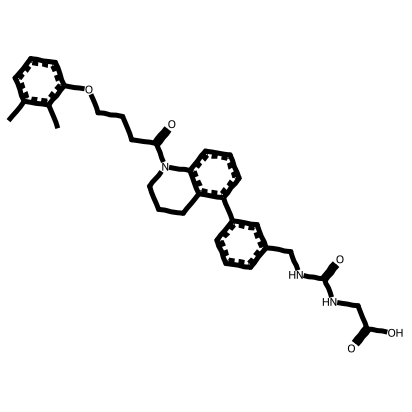 Cc1cccc(OCCCC(=O)N2CCCc3c(-c4cccc(CNC(=O)NCC(=O)O)c4)cccc32)c1C